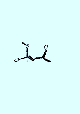 CS/C(Cl)=C\C(C)=O